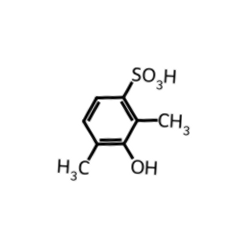 Cc1ccc(S(=O)(=O)O)c(C)c1O